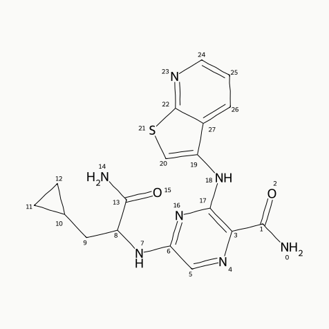 NC(=O)c1ncc(NC(CC2CC2)C(N)=O)nc1Nc1csc2ncccc12